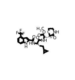 COC(=O)[C@H](C[C@@H]1CCCNC1=O)NC(=O)[C@H](CCC1CC1)NC(=O)c1cc2c(C(F)(F)F)cccc2[nH]1